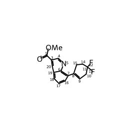 COC(=O)c1cnc2c(C3=CCC(F)(F)CC3)cccc2c1